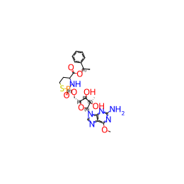 COc1nc(N)nc2c1ncn2[C@@H]1O[C@H](CO[P@]2(=O)NC(C(=O)O[C@H](C)c3ccccc3)CCS2)[C@@H](O)[C@@]1(C)O